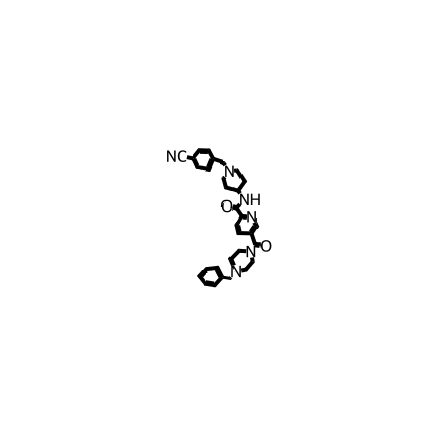 N#Cc1ccc(CN2CCC(NC(=O)c3ccc(C(=O)N4CCN(Cc5ccccc5)CC4)cn3)CC2)cc1